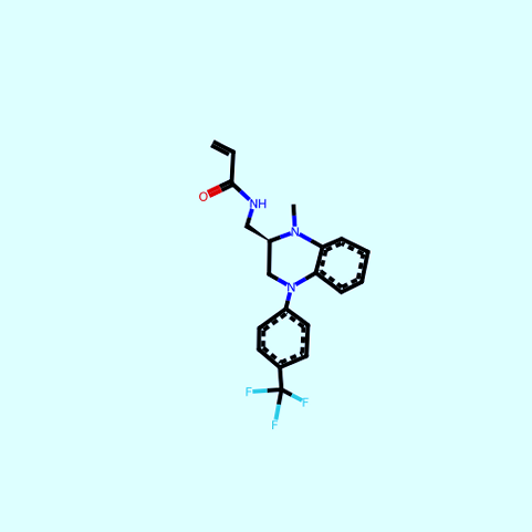 C=CC(=O)NC[C@@H]1CN(c2ccc(C(F)(F)F)cc2)c2ccccc2N1C